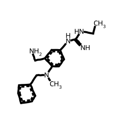 CCNC(=N)Nc1ccc(N(C)Cc2ccccc2)c(CN)c1